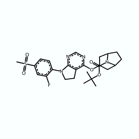 CC(C)(C)OC(=O)N1C2CCC1CC(Oc1ncnc3c1CCN3c1ccc(S(C)(=O)=O)cc1F)C2